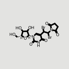 O=C1CCC(=O)N1C(Br)C(Br)c1cn([C@@H]2O[C@H](CO)C(O)C2O)c(=O)[nH]c1=O